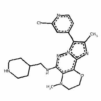 Cc1nc2c3c(c(NCC4CCNCC4)nn2c1-c1ccnc(Cl)c1)N(C)CCO3